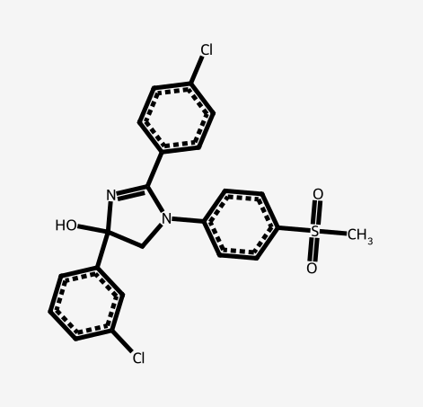 CS(=O)(=O)c1ccc(N2CC(O)(c3cccc(Cl)c3)N=C2c2ccc(Cl)cc2)cc1